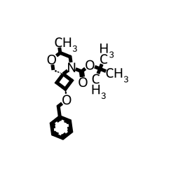 CC1CN(C(=O)OC(C)(C)C)[C@]2(CO1)C[C@@H](OCc1ccccc1)C2